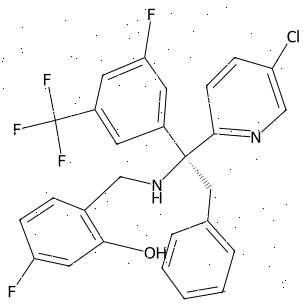 Oc1cc(F)ccc1CN[C@@](Cc1ccccc1)(c1cc(F)cc(C(F)(F)F)c1)c1ccc(Cl)cn1